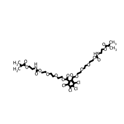 C=C(C)C(=O)OCCNC(=O)OCCOCCOCCOC(=O)c1c(Cl)c(Cl)c(Cl)c(Cl)c1C(=O)OCCOCCOCCOC(=O)NCCOC(=O)C(=C)C